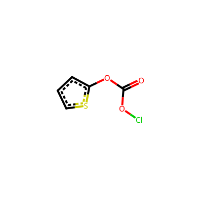 O=C(OCl)Oc1cccs1